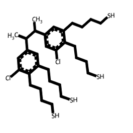 CC(c1cc(Cl)c(CCCCS)c(CCCCS)c1)C(C)c1cc(Cl)c(CCCCS)c(CCCCS)c1